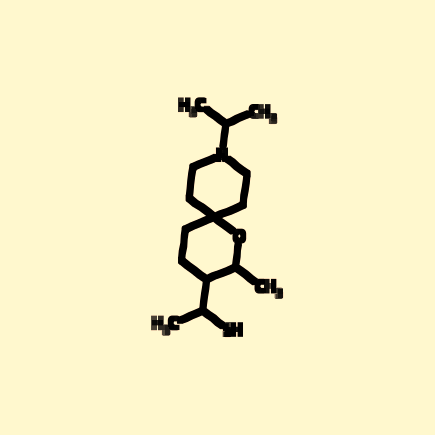 CC(S)C1CCC2(CCN(C(C)C)CC2)OC1C